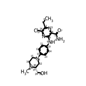 CCc1nc(C(N)=O)c(Nc2ccc(N3CCN(C)[C@@H](CO)C3)cc2)nc1Cl